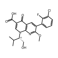 COc1nc2c(cc1-c1cccc(Cl)c1F)c(=O)c(C(=O)O)cn2[C@H](CO)C(C)C